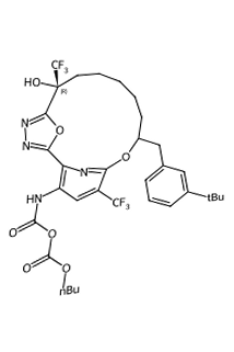 CCCCOC(=O)OC(=O)Nc1cc(C(F)(F)F)c2nc1-c1nnc(o1)[C@@](O)(C(F)(F)F)CCCCCC(Cc1cccc(C(C)(C)C)c1)O2